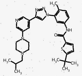 Cc1ccc(NC(=O)c2ccc(C(C)(C)C)s2)cc1-n1cc(-c2cncc(N3CCN(CC(C)C)CC3)c2)nn1